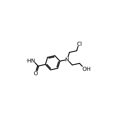 [NH]C(=O)c1ccc(N(CCO)CCCl)cc1